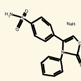 NS(=O)(=O)c1ccc(-c2coc(=O)n2-c2ccccc2)cc1.[NaH]